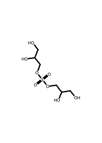 O=S(=O)(OCC(O)CO)OCC(O)CO